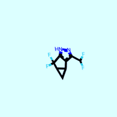 FC(F)c1n[nH]c2c1C1CC1C2(F)F